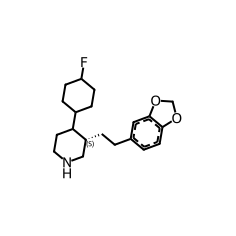 FC1CCC(C2CCNC[C@H]2CCc2ccc3c(c2)OCO3)CC1